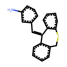 Nc1cccc(C=C2c3ccccc3CSc3ccccc32)c1